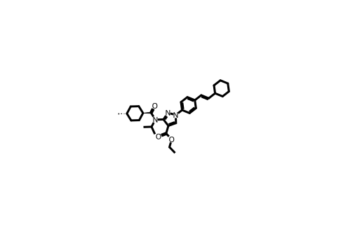 CCOC(=O)c1cn(-c2ccc(C=CC3CCCCC3)cc2)nc1N(C(=O)[C@H]1CC[C@H](C)CC1)C(C)C